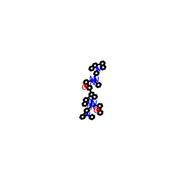 c1ccc(-c2nc(-c3ccc(N4c5c(ccc6ccccc56)-c5cccc6cccc4c56)cc3)nc(-c3cccc4oc5cc(-c6cc7c8c(cccc8c6)N(c6nc(-c8ccc9c%10ccccc%10n(-c%10ccccc%10)c9c8)nc(-c8cccc9c8oc8ccccc89)n6)c6c-7ccc7ccccc67)ccc5c34)n2)cc1